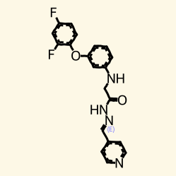 O=C(CNc1cccc(Oc2ccc(F)cc2F)c1)N/N=C/c1ccncc1